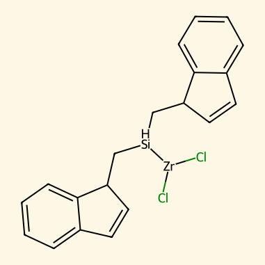 [Cl][Zr]([Cl])[SiH](CC1C=Cc2ccccc21)CC1C=Cc2ccccc21